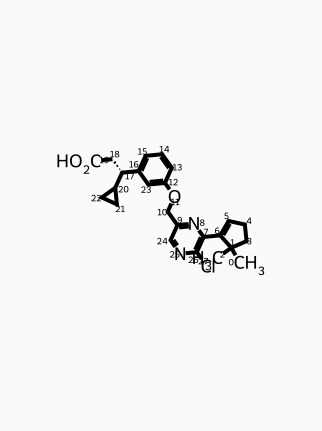 CC1(C)CCC=C1c1nc(COc2cccc([C@@H](CC(=O)O)C3CC3)c2)cnc1Cl